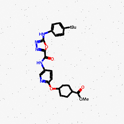 COC(=O)C1CCC(Oc2ccc(NC(=O)c3nnc(Nc4ccc(C(C)(C)C)cc4)o3)cn2)CC1